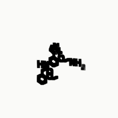 CCOc1ccccc1CC(=O)Nc1ccc(OCCN)c(-c2ccnn2C)c1